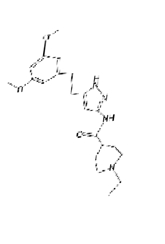 CCN1CCC(C(=O)Nc2cc(CCc3cc(OC)cc(OC)c3)[nH]n2)CC1